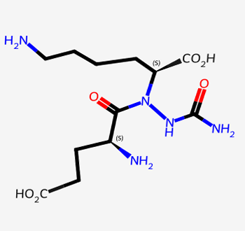 NCCCC[C@@H](C(=O)O)N(NC(N)=O)C(=O)[C@@H](N)CCC(=O)O